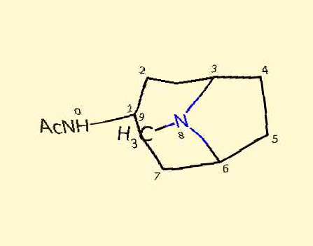 CC(=O)NC1CC2CCC(C1)N2C